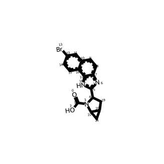 O=C(O)N1C(c2nc3ccc4cc(Br)ccc4c3[nH]2)CC2CC21